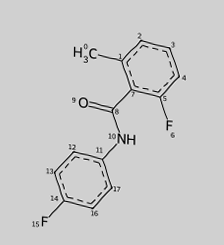 Cc1cccc(F)c1C(=O)Nc1ccc(F)cc1